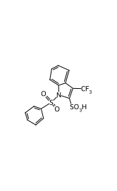 O=S(=O)(O)c1c(C(F)(F)F)c2ccccc2n1S(=O)(=O)c1ccccc1